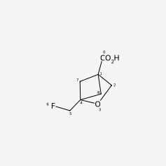 O=C(O)C12COC(CF)(C1)C2